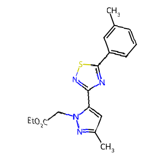 CCOC(=O)Cn1nc(C)cc1-c1nsc(-c2cccc(C)c2)n1